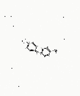 Oc1ccc(Oc2ccc(C(F)(F)F)cc2)cc1